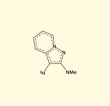 [2H]c1c(NC)nn2ccccc12